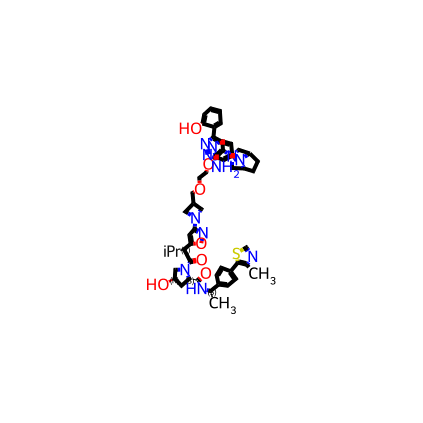 Cc1ncsc1-c1ccc([C@H](C)NC(=O)[C@@H]2C[C@@H](O)CN2C(=O)[C@@H](c2cc(N3CC(COCCOc4cc(N5C6CCC5CN(c5cc(-c7ccccc7O)nnc5N)C6)ccn4)C3)no2)C(C)C)cc1